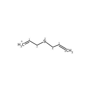 C=CC[Si]CC=C